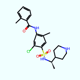 Cc1cc(S(=O)(=O)N[C@H](C)C2CCNCC2)c(Cl)cc1NC(=O)c1ccccc1C